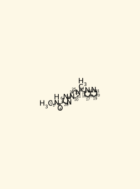 CCNC(=O)c1cnc(N2CCN(C(C)c3ccc4cccnc4n3)CC2)nc1